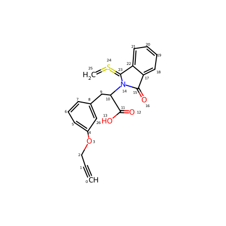 C#CCOc1cccc(CC(C(=O)O)N2C(=O)c3ccccc3C2=S=C)c1